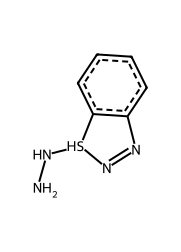 NN[SH]1N=Nc2ccccc21